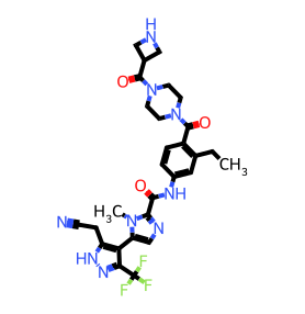 CCc1cc(NC(=O)c2ncc(-c3c(C(F)(F)F)n[nH]c3CC#N)n2C)ccc1C(=O)N1CCN(C(=O)C2CNC2)CC1